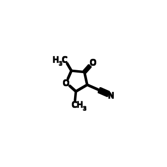 CC1OC(C)C(C#N)C1=O